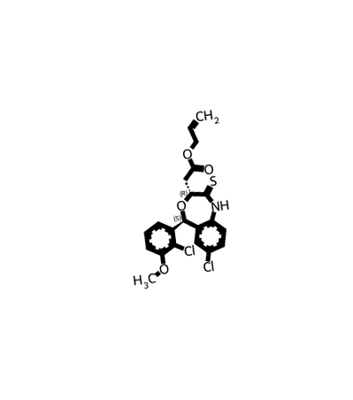 C=CCOC(=O)C[C@H]1O[C@H](c2cccc(OC)c2Cl)c2cc(Cl)ccc2NC1=S